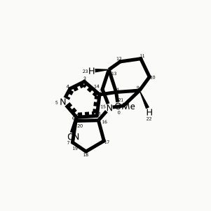 COC1(c2ccnc(C#N)c2)[C@@H]2CCC[C@H]1CN(C1CCCC1)C2